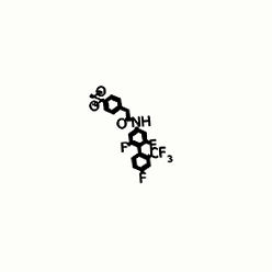 CS(=O)(=O)c1ccc(CC(=O)Nc2cc(F)c(-c3ccc(F)cc3C(F)(F)F)c(F)c2)cc1